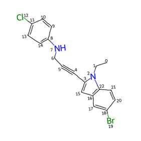 CCn1c(C#CCNc2ccc(Cl)cc2)cc2cc(Br)ccc21